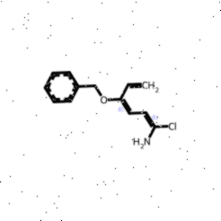 C=C/C(=C\C=C(/N)Cl)OCc1ccccc1